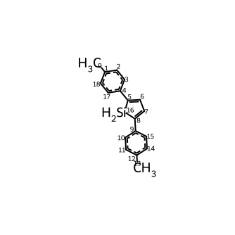 Cc1ccc(C2=CC=C(c3ccc(C)cc3)[SiH2]2)cc1